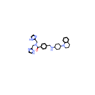 O=C(c1ccc(CNC2CCC(N3CCCc4ccccc43)CC2)cc1)N(Cc1ncc[nH]1)Cc1ncc[nH]1